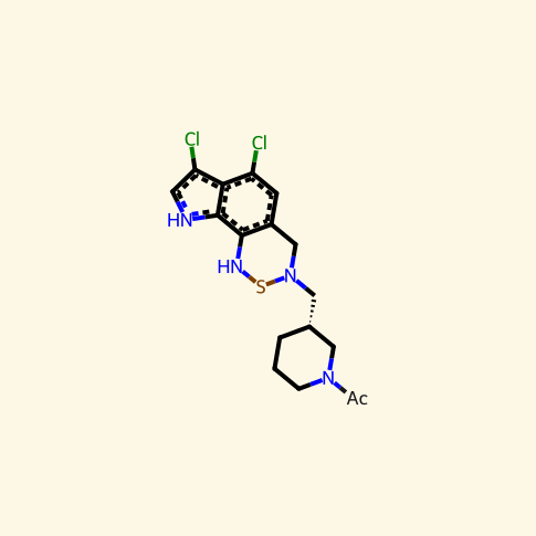 CC(=O)N1CCC[C@H](CN2Cc3cc(Cl)c4c(Cl)c[nH]c4c3NS2)C1